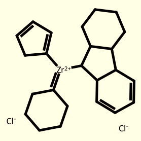 C1=CC[C]([Zr+2](=[C]2CCCCC2)[CH]2C3C=CC=CC3C3CCCCC32)=C1.[Cl-].[Cl-]